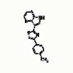 Cc1ccc(-c2csc(-c3c[nH]c4nccnc34)n2)cc1